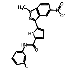 Cn1nc(-c2ccc(C(=O)Nc3cccc(F)c3)[nH]2)c2cc([N+](=O)[O-])ccc21